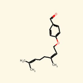 CC(C)=CCCC(C)=CCOc1ccc(C=O)cc1